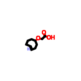 O=C(O)COC1CC/C=C/CCC1